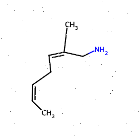 C/C=C\C/C=C(/C)CN